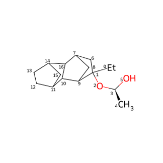 CCC1(O[C@H](C)O)CC2CC1C1C3CCC(C3)C21